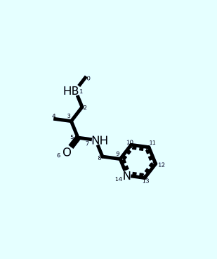 CBCC(C)C(=O)NCc1ccccn1